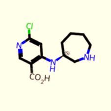 O=C(O)c1cnc(Cl)cc1N[C@H]1CCCCNC1